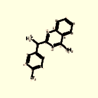 CC(c1cnc(C(F)(F)F)nc1)c1nc(N)c2ccccc2n1